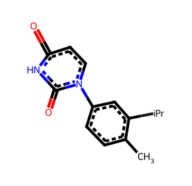 Cc1ccc(-n2ccc(=O)[nH]c2=O)cc1C(C)C